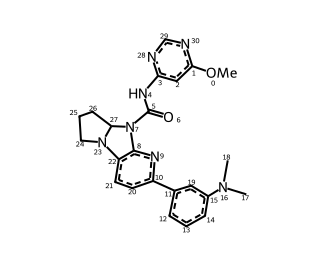 COc1cc(NC(=O)N2c3nc(-c4cccc(N(C)C)c4)ccc3N3CCCC32)ncn1